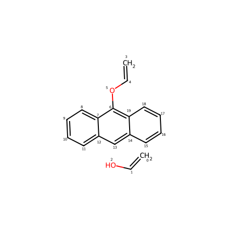 C=CO.C=COc1c2ccccc2cc2ccccc12